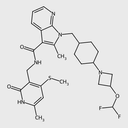 CSc1cc(C)[nH]c(=O)c1CNC(=O)c1c(C)n(CC2CCC(N3CC(OC(F)F)C3)CC2)c2ncccc12